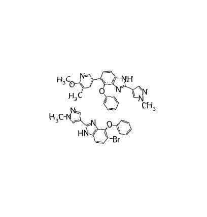 COc1ncc(-c2ccc3[nH]c(-c4cnn(C)c4)nc3c2Oc2ccccc2)cc1C.Cn1cc(-c2nc3c(Oc4ccccc4)c(Br)ccc3[nH]2)cn1